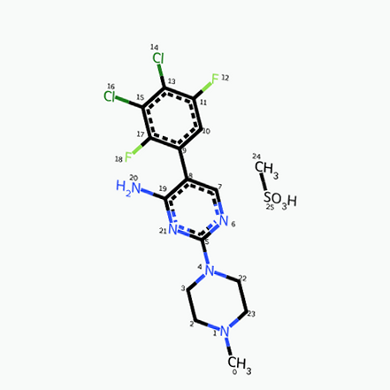 CN1CCN(c2ncc(-c3cc(F)c(Cl)c(Cl)c3F)c(N)n2)CC1.CS(=O)(=O)O